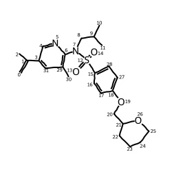 C=C(C)c1cnc(N(CC(C)C)S(=O)(=O)c2ccc(OCC3CCCCO3)cc2)c(C)c1